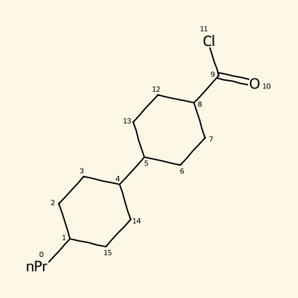 CCCC1CCC(C2CCC(C(=O)Cl)CC2)CC1